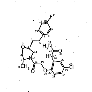 C[C@@H]1CO[C@@H](CCc2ccc(F)cc2)CN1C(=O)COc1ccc(Cl)cc1NC(N)=O